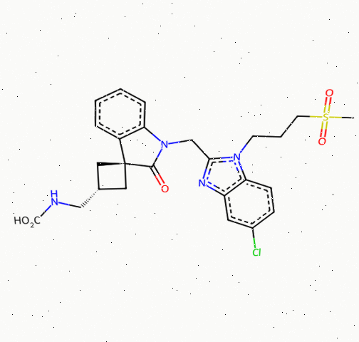 CS(=O)(=O)CCCn1c(CN2c3ccccc3[C@]3(C[C@@H](CNC(=O)O)C3)C2=O)nc2cc(Cl)ccc21